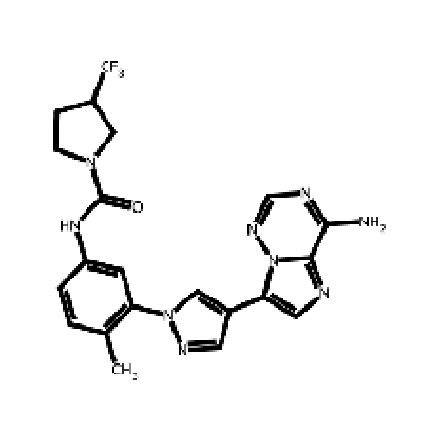 Cc1ccc(NC(=O)N2CCC(C(F)(F)F)C2)cc1-n1cc(-c2cnc3c(N)ncnn23)cn1